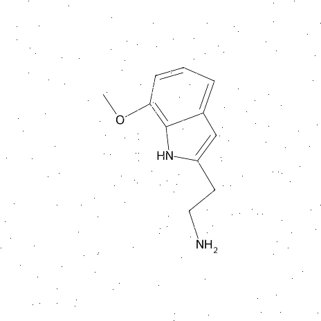 COc1cccc2cc(CCN)[nH]c12